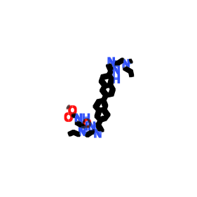 CCCN(C)Cc1ncc(-c2ccc3cc(-c4ccc5cc(-c6cnc(CN(CCC)C(=O)CNC(=O)OC)[nH]6)ccc5c4)ccc3c2)[nH]1